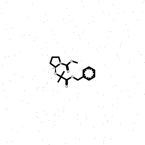 COC(=O)N1CCC[C@@H]1OC(C)(C)C(=O)OCc1ccccc1